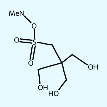 CNOS(=O)(=O)CC(CO)(CO)CO